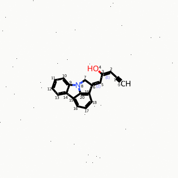 C#C/C=C(O)\C=C1/Cn2c3ccccc3c3cccc1c32